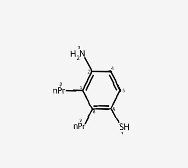 CCCc1c(N)ccc(S)c1CCC